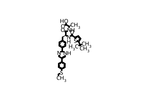 CCSc1ccc(C2=CNC(c3ccc(C[C@H](NC(=O)c4ccc(C(C)(C)C)s4)C(=O)N[C@H](C)C(=O)O)cc3)N=C2)cc1